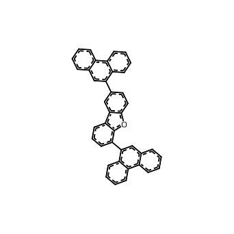 c1ccc2c(c1)cc(-c1ccc3oc4c(-c5cc6ccccc6c6ccccc56)cccc4c3c1)c1ccccc12